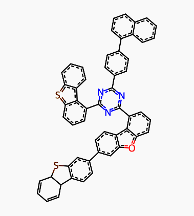 C1=CC2Sc3cc(-c4ccc5c(c4)oc4cccc(-c6nc(-c7ccc(-c8cccc9ccccc89)cc7)nc(-c7cccc8sc9ccccc9c78)n6)c45)ccc3C2C=C1